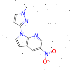 Cn1ccc(-n2ccc3cc([N+](=O)[O-])cnc32)n1